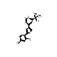 CC(C)(C#N)c1cc(-c2csc(-c3ccc(N)cc3Cl)c2)ccn1